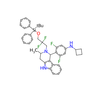 CC1Cc2[nH]c3ccccc3c2C(c2c(F)cc(NC3CCC3)cc2F)N1CC(F)(F)CO[Si](c1ccccc1)(c1ccccc1)C(C)(C)C